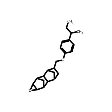 CCC(C)c1ccc(OCC2CC3CC2C2C4CC(C5OC45)C32)cc1